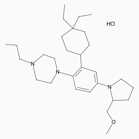 CCCN1CCN(c2ccc(N3CCCC3COC)cc2C2CCC(CC)(CC)CC2)CC1.Cl